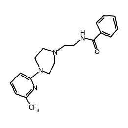 O=C(NCCN1CCN(c2cccc(C(F)(F)F)n2)CC1)c1ccccc1